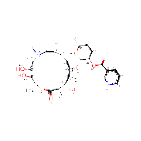 CC[C@H]1OC(=O)[C@H](C)[C@@H](O)[C@H](C)[C@@H](O[C@@H]2O[C@H](C)CC[C@H]2OC(=O)c2cccnc2)[C@@H](C)C[C@@H](C)CN(C)[C@H](C)[C@@H](O)[C@]1(C)O